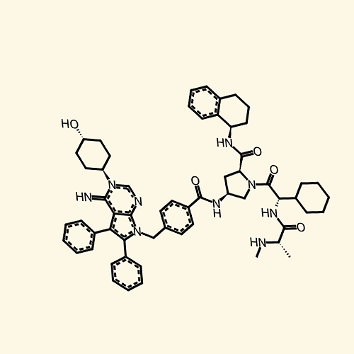 CN[C@@H](C)C(=O)N[C@H](C(=O)N1C[C@@H](NC(=O)c2ccc(Cn3c(-c4ccccc4)c(-c4ccccc4)c4c(=N)n([C@H]5CC[C@H](O)CC5)cnc43)cc2)C[C@H]1C(=O)N[C@@H]1CCCc2ccccc21)C1CCCCC1